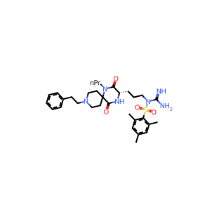 CCCN1C(=O)[C@H](CCCN(C(=N)N)S(=O)(=O)c2c(C)cc(C)cc2C)NC(=O)C12CCN(CCc1ccccc1)CC2